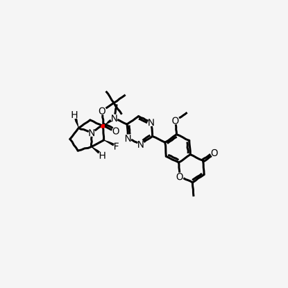 COc1cc2c(=O)cc(C)oc2cc1-c1ncc(N(C)[C@@H]2C[C@H]3CC[C@@H]([C@@H]2F)N3C(=O)OC(C)(C)C)nn1